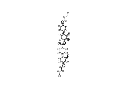 CCCCOc1ccc(-c2ccc(OC(=O)C3CCC(c4ccc(OCCCC)cc4F)CC3)c(F)c2F)cc1